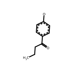 CCCC(=O)c1ccc([O])cc1